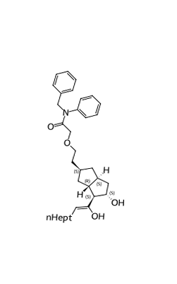 CCCCCCCC=C(O)[C@H]1[C@@H]2C[C@@H](CCOCC(=O)N(Cc3ccccc3)c3ccccc3)C[C@H]2C[C@@H]1O